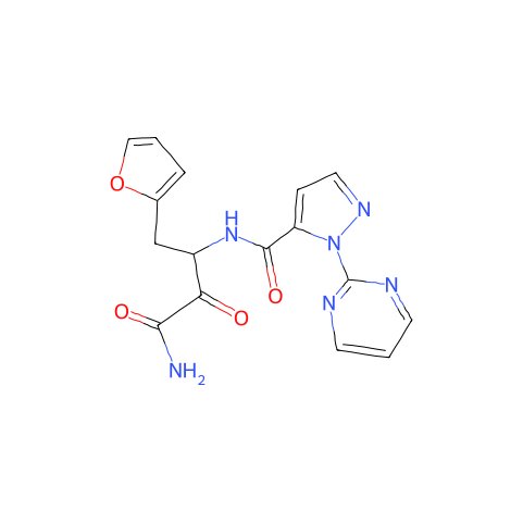 NC(=O)C(=O)C(Cc1ccco1)NC(=O)c1ccnn1-c1ncccn1